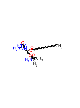 CCCCCCCCCCCCCCCC(=O)OC[C@H](CCOC(=O)[C@@H](N)[C@@H](C)CC)Cn1cnc2c(=O)[nH]c(N)nc21